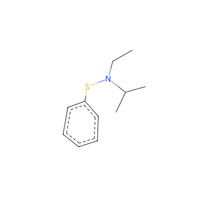 CCN(Sc1ccccc1)C(C)C